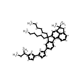 CCCCCCC1(CCCCCC)c2cc(-c3ccc(-c4ccc(C(C)CC)s4)s3)ccc2-c2c1cc1c3c(cccc23)CC1(C)C